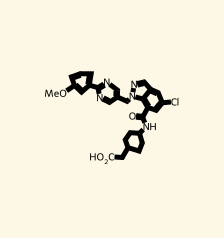 COc1cccc(-c2ncc(Cn3ncc4cc(Cl)cc(C(=O)NC5CCC(CC(=O)O)CC5)c43)cn2)c1